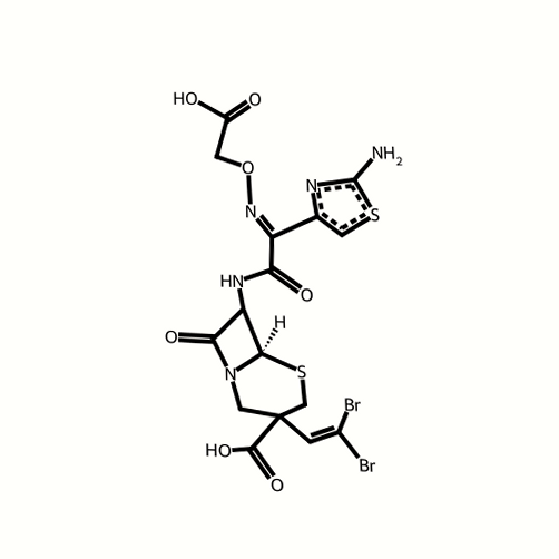 Nc1nc(C(=NOCC(=O)O)C(=O)NC2C(=O)N3CC(C=C(Br)Br)(C(=O)O)CS[C@H]23)cs1